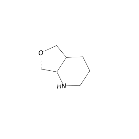 C1CNC2COCC2C1